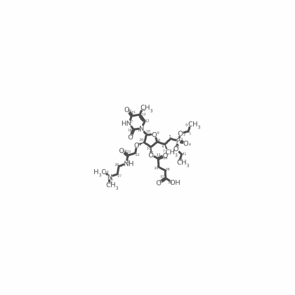 CCOP(=O)(C[C@@H](C)C1OC(n2cc(C)c(=O)[nH]c2=O)[C@H](OCC(=O)NCCN(C)C)[C@@H]1OC(=O)CCC(=O)O)OCC